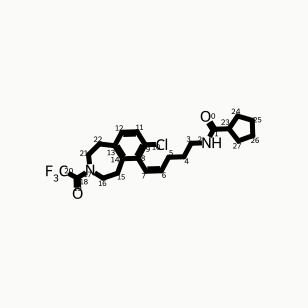 O=C(NCCC/C=C\c1c(Cl)ccc2c1CCN(C(=O)C(F)(F)F)CC2)C1CCCC1